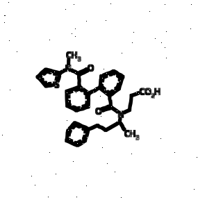 CC(CCc1ccccc1)N(CCC(=O)O)C(=O)c1ccccc1-c1ccccc1C(=O)N(C)c1cccs1